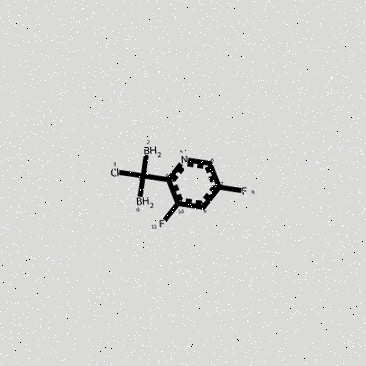 BC(B)(Cl)c1ncc(F)cc1F